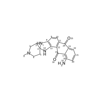 CN1CCC2(CC1)Nc1ccc3c(c1N2)C(=O)c1c(N)cccc1C3=O